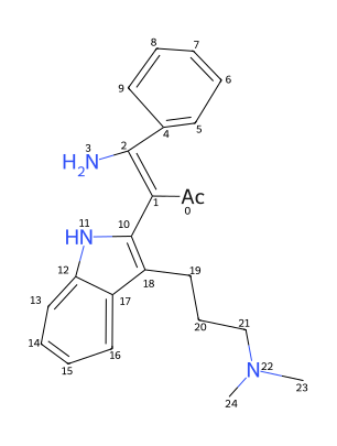 CC(=O)C(=C(N)c1ccccc1)c1[nH]c2ccccc2c1CCCN(C)C